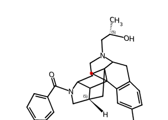 C[C@H](O)CN1CCC23c4cc(O)ccc4CC1C21CCC2C3[C@@H](CN2C(=O)c2ccccc2)C1